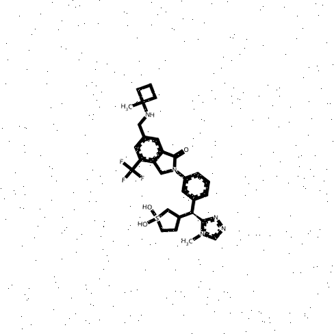 Cn1cnnc1[C@H](c1cccc(N2Cc3c(cc(CNC4(C)CCC4)cc3C(F)(F)F)C2=O)c1)C1CCS(O)(O)C1